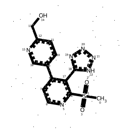 CS(=O)(=O)c1nccc(-c2ccc(CO)nc2)c1-c1nnn[nH]1